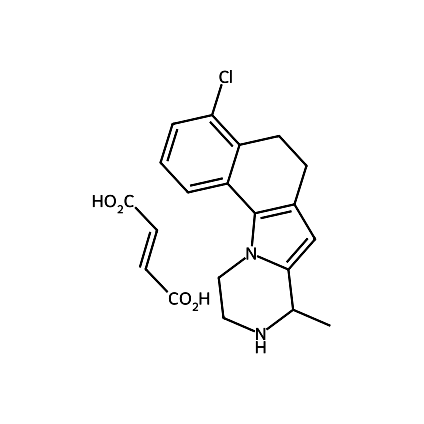 CC1NCCn2c1cc1c2-c2cccc(Cl)c2CC1.O=C(O)C=CC(=O)O